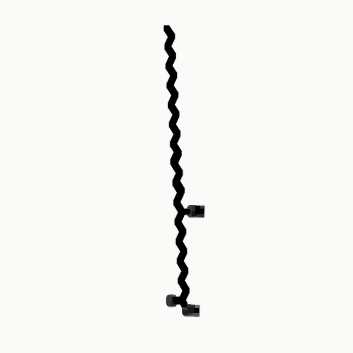 CCCCCCCCCCCCCC=CCC=CCC(O)CCCCCCCCC(=O)O